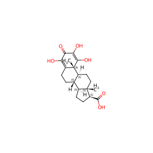 C[C@]12C(O)=C(O)C(=O)C(O)=C1CC[C@@H]1[C@@H]2CC[C@]2(C)[C@@H](C(=O)O)CC[C@@H]12